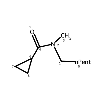 CCCCCCN(C)C(=O)C1CC1